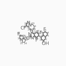 CCc1c(F)ccc2cc(O)cc(-c3ccc4c(N5CCCn6ncc(Cl)c6C5)nc(OC[C@@]56CCCN5C[C@H](F)C6)nc4c3F)c12